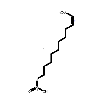 CCCCCCCC/C=C\CCCCCCCCO[PH](=O)O.[Cr]